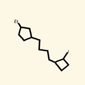 CCC1CCC(CCCCC2CCC2I)C1